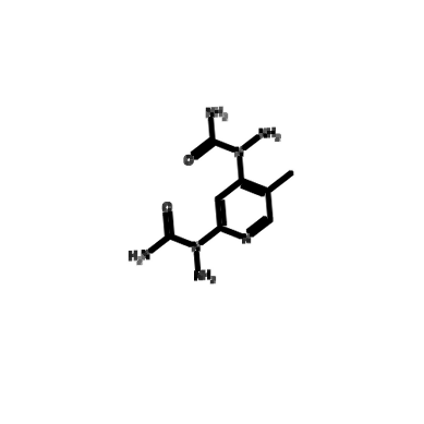 Cc1cnc(N(N)C(N)=O)cc1N(N)C(N)=O